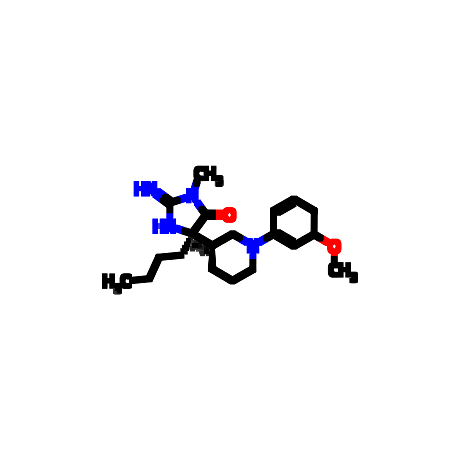 CCCC[C@]1([C@@H]2CCCN(C3=CC(OC)CC=C3)C2)NC(=N)N(C)C1=O